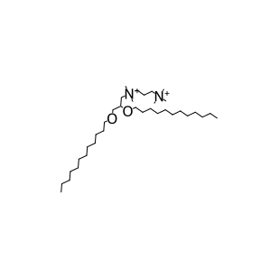 CCCCCCCCCCCCOCC(C[N+](C)(C)CCC[N+](C)(C)C)OCCCCCCCCCCCC